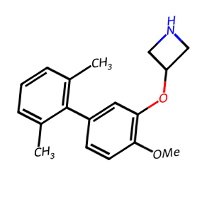 COc1ccc(-c2c(C)cccc2C)cc1OC1CNC1